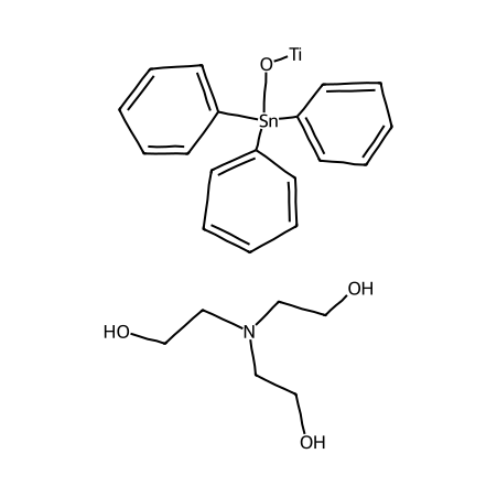 OCCN(CCO)CCO.[Ti][O][Sn]([c]1ccccc1)([c]1ccccc1)[c]1ccccc1